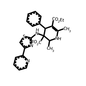 CCOC(=O)C1=C(C)NC(C)C(Nc2nc(-c3ccccn3)cs2)(C(=O)OCC)C1c1ccccc1